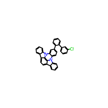 Clc1cccc(-c2ccccc2-c2ccc3c(c2)n2c4ccccc4c4ccc5c6ccccc6n3c5c42)c1